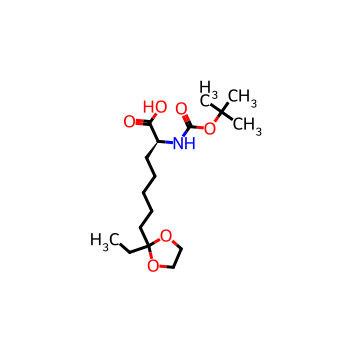 CCC1(CCCCC[C@H](NC(=O)OC(C)(C)C)C(=O)O)OCCO1